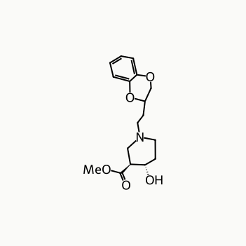 COC(=O)[C@H]1CN(CCC2COc3ccccc3O2)CC[C@@H]1O